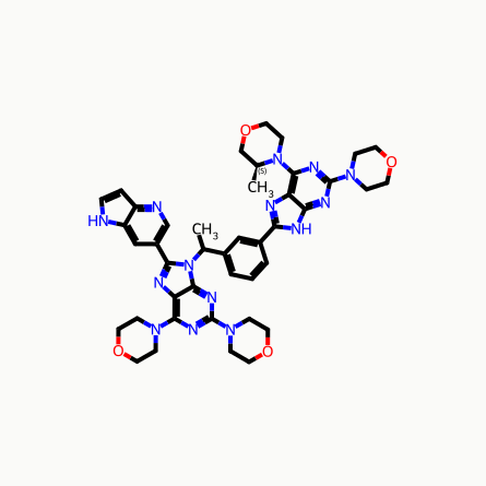 CC(c1cccc(-c2nc3c(N4CCOC[C@@H]4C)nc(N4CCOCC4)nc3[nH]2)c1)n1c(-c2cnc3cc[nH]c3c2)nc2c(N3CCOCC3)nc(N3CCOCC3)nc21